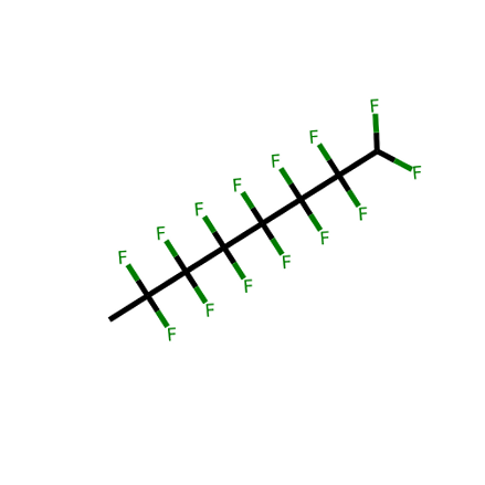 CC(F)(F)C(F)(F)C(F)(F)C(F)(F)C(F)(F)C(F)(F)C(F)F